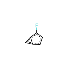 Fc1ccc2cc1-2